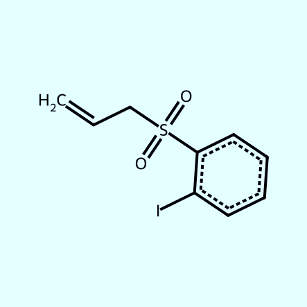 C=CCS(=O)(=O)c1ccccc1I